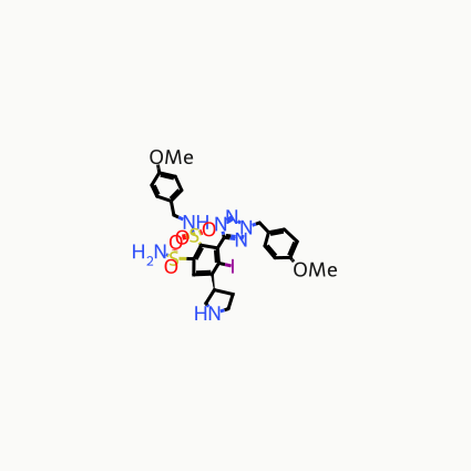 COc1ccc(CNS(=O)(=O)c2c(S(N)(=O)=O)cc([C@H]3CCNC3)c(I)c2-c2nnn(Cc3ccc(OC)cc3)n2)cc1